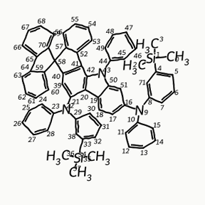 C[Si](C)(C)c1cccc(N(c2ccccc2)c2ccc3c4c(N(c5ccccc5)c5cccc([Si](C)(C)C)c5)cc5c(c4n(-c4ccccc4)c3c2)-c2ccccc2C52c3ccccc3-c3ccccc32)c1